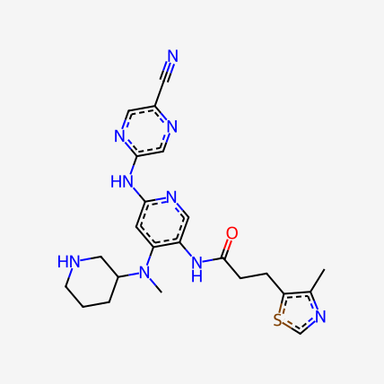 Cc1ncsc1CCC(=O)Nc1cnc(Nc2cnc(C#N)cn2)cc1N(C)C1CCCNC1